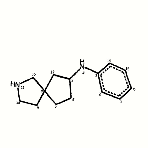 c1ccc(NC2CCC3(CCNC3)C2)cc1